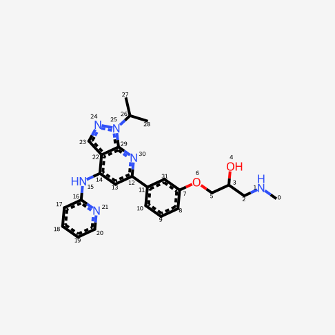 CNCC(O)COc1cccc(-c2cc(Nc3ccccn3)c3cnn(C(C)C)c3n2)c1